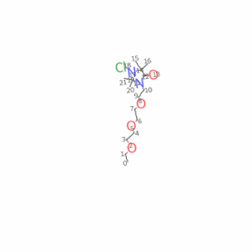 CCOCCOCCOCCN1C(=O)C(C)(C)N(Cl)C1(C)C